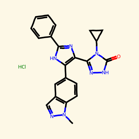 Cl.Cn1ncc2cc(-c3[nH]c(-c4ccccc4)nc3-c3n[nH]c(=O)n3C3CC3)ccc21